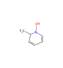 ON1C=CC=CC1C(F)(F)F